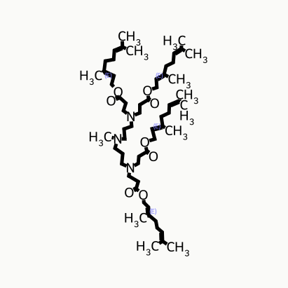 CC(C)=CCC/C(C)=C/COC(=O)CCN(CCCN(C)CCCN(CCC(=O)OC/C=C(\C)CCC=C(C)C)CCC(=O)OC/C=C(\C)CCC=C(C)C)CCC(=O)OC/C=C(\C)CCC=C(C)C